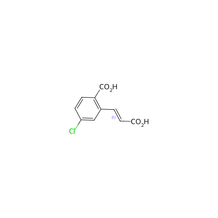 O=C(O)/C=C/c1cc(Cl)ccc1C(=O)O